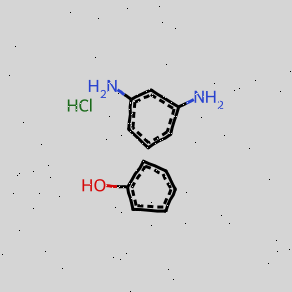 Cl.Nc1cccc(N)c1.Oc1ccccc1